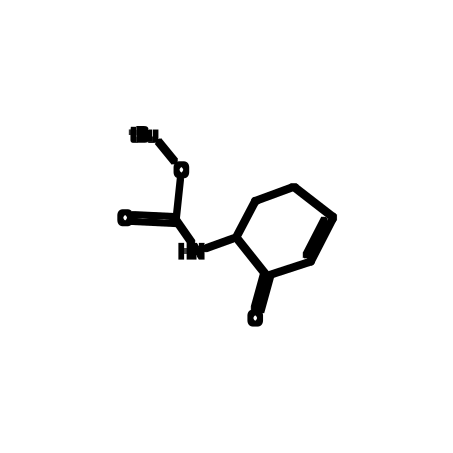 CC(C)(C)OC(=O)NC1CCC=CC1=O